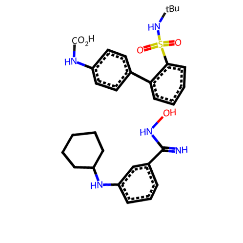 CC(C)(C)NS(=O)(=O)c1ccccc1-c1ccc(NC(=O)O)cc1.N=C(NO)c1cccc(NC2CCCCC2)c1